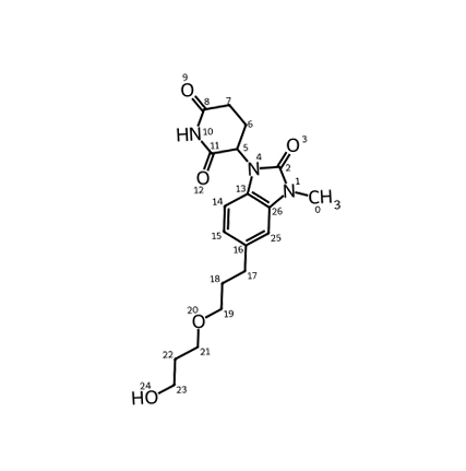 Cn1c(=O)n(C2CCC(=O)NC2=O)c2ccc(CCCOCCCO)cc21